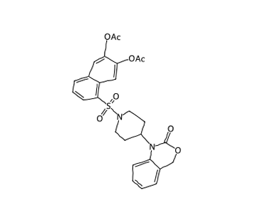 CC(=O)Oc1cc2cccc(S(=O)(=O)N3CCC(N4C(=O)OCc5ccccc54)CC3)c2cc1OC(C)=O